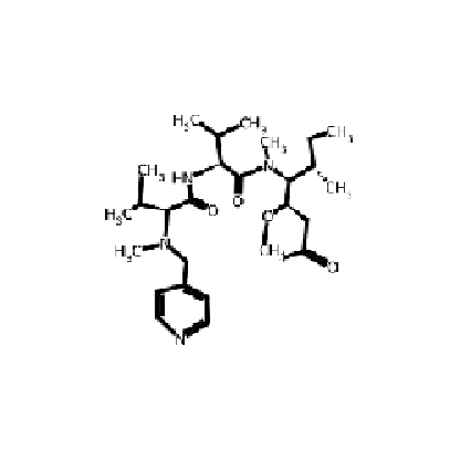 CC[C@H](C)[C@@H]([C@@H](CC(=O)I)OC)N(C)C(=O)[C@@H](NC(=O)[C@H](C(C)C)N(C)Cc1ccncc1)C(C)C